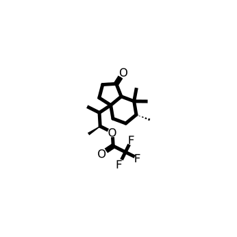 CC([C@H](C)OC(=O)C(F)(F)F)C12CCC(=O)C1C(C)(C)[C@H](C)CC2